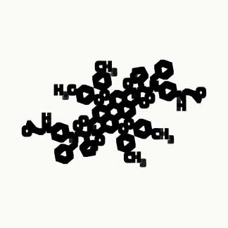 Cc1ccc(Oc2cc3c4c(cc(Oc5ccc(C)cc5)c5c6c(Oc7ccc(C)cc7)cc7c8c(cc(Oc9ccc(C)cc9)c(c2c45)c86)C(=O)N(C(C(=O)N(Cc2ccccc2)c2ccc(NCC4CO4)cc2)c2cccs2)C7=O)C(=O)N(C(C(=O)N(Cc2ccccc2)c2ccc(NCC4CO4)cc2)c2cccs2)C3=O)cc1